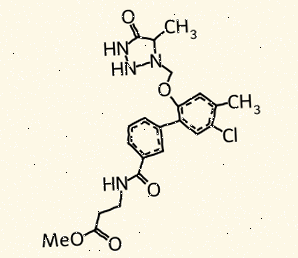 COC(=O)CCNC(=O)c1cccc(-c2cc(Cl)c(C)cc2OCN2NNC(=O)C2C)c1